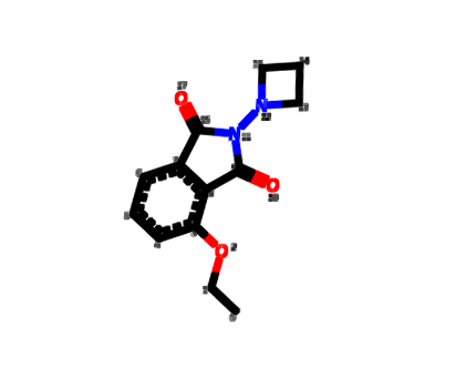 CCOc1cccc2c1C(=O)N(N1CCC1)C2=O